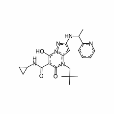 CC(Nc1cc2n(CC(C)(C)C)c(=O)c(C(=O)NC3CC3)c(O)n2n1)c1ccccn1